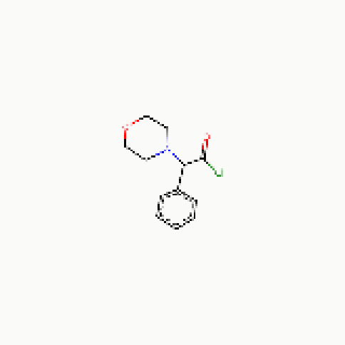 O=C(Cl)C(c1ccccc1)N1CCOCC1